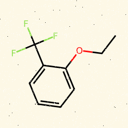 CCOc1cc[c]cc1C(F)(F)F